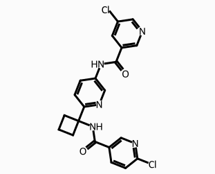 O=C(Nc1ccc(C2(NC(=O)c3ccc(Cl)nc3)CCC2)nc1)c1cncc(Cl)c1